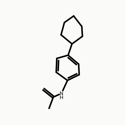 C=C(C)Nc1ccc(C2CCCCC2)cc1